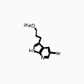 COCCCc1c[nH]c2ncc(Br)cc12